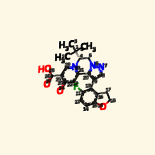 CC(C)(C)[C@@H]1Cn2ncc(-c3c(F)ccc4c3CCO4)c2-c2cc(=O)c(C(=O)O)cn21